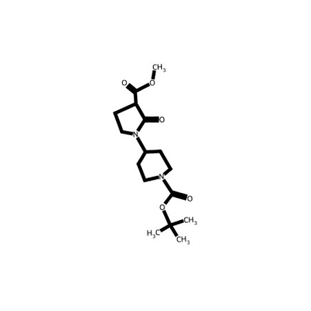 COC(=O)C1CCN(C2CCN(C(=O)OC(C)(C)C)CC2)C1=O